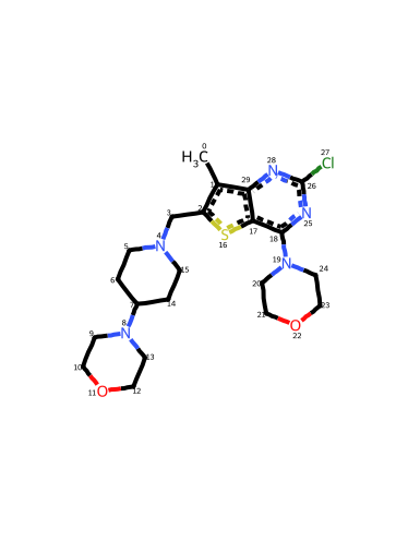 Cc1c(CN2CCC(N3CCOCC3)CC2)sc2c(N3CCOCC3)nc(Cl)nc12